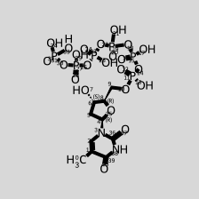 Cc1cn([C@H]2C[C@H](O)[C@@H](COP(=O)(O)OP(=O)(O)OP(=O)(O)OP(=O)(O)OP(=O)(O)OP(=O)(O)O)O2)c(=O)[nH]c1=O